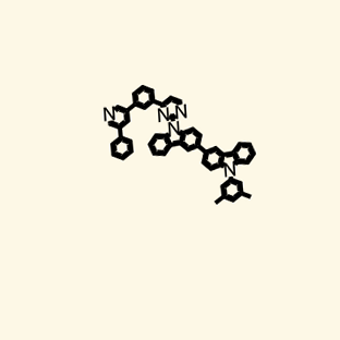 Cc1cc(C)cc(-n2c3ccccc3c3cc(-c4ccc5c(c4)c4ccccc4n5-c4nccc(-c5cccc(-c6cncc(-c7ccccc7)c6)c5)n4)ccc32)c1